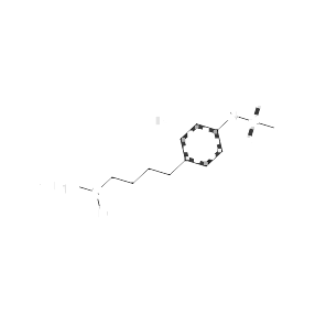 Br.CCCCCCCN(CC)CCCCc1ccc(NS(C)(=O)=O)cc1